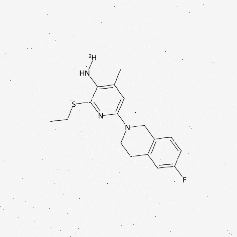 [2H]Nc1c(C)cc(N2CCc3cc(F)ccc3C2)nc1SCC